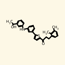 Cc1cccc(CCC(=O)c2ccc(-c3cccc(Nc4cccc(C(C)O)c4)c3)s2)c1C